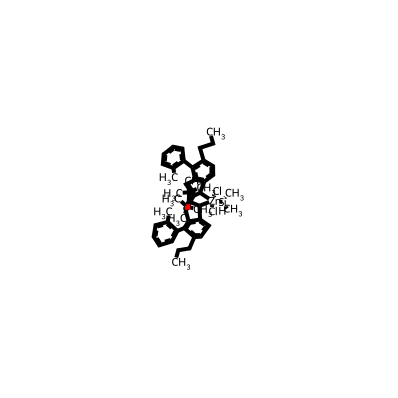 CCCc1ccc2c(c1-c1ccccc1C)C=C(C(C)(C)C)[CH]2[Zr]([Cl])([Cl])([CH]1C(C(C)(C)C)=Cc2c1ccc(CCC)c2-c1ccccc1C)[SiH](C)C